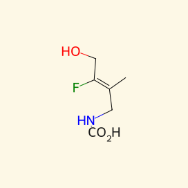 CC(CNC(=O)O)=C(F)CO